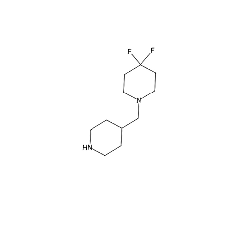 FC1(F)CCN(CC2CCNCC2)CC1